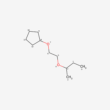 CCC(C)OCCOC1CCCC1